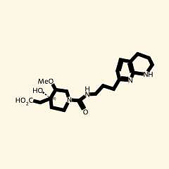 COC1CN(C(=O)NCCCc2ccc3c(n2)NCCC3)CC[C@@]1(O)CC(=O)O